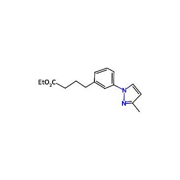 CCOC(=O)CCCc1cccc(-n2ccc(C)n2)c1